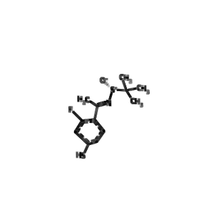 C/C(=N\[S@+]([O-])C(C)(C)C)c1ccc(S)cc1F